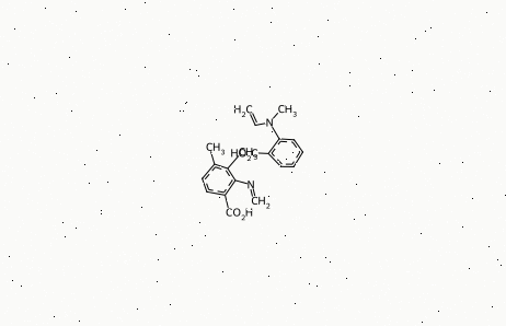 C=CN(C)c1ccccc1C(=O)O.C=Nc1c(C(=O)O)ccc(C)c1C